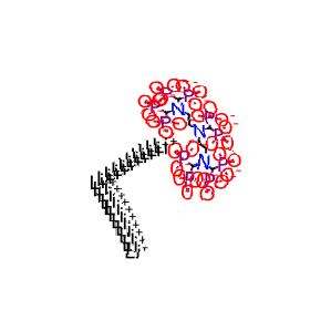 O=P([O-])([O-])C(N(CCN(C(P(=O)([O-])[O-])P(=O)([O-])[O-])C(P(=O)([O-])[O-])P(=O)([O-])[O-])CCN(C(P(=O)([O-])[O-])P(=O)([O-])[O-])C(P(=O)([O-])[O-])P(=O)([O-])[O-])P(=O)([O-])[O-].[Li+].[Li+].[Li+].[Li+].[Li+].[Li+].[Li+].[Li+].[Li+].[Li+].[Li+].[Li+].[Li+].[Li+].[Li+].[Li+].[Li+].[Li+].[Li+].[Li+]